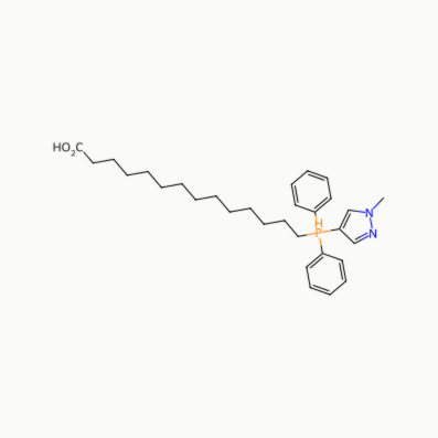 Cn1cc([PH](CCCCCCCCCCCCCC(=O)O)(c2ccccc2)c2ccccc2)cn1